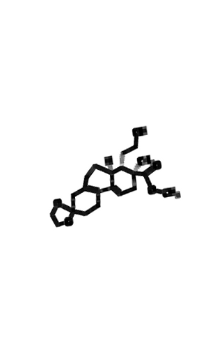 COC(=O)[C@@]1(C)CC=C2C3=C(CC[C@H]2[C@@H]1CCO)CC1(CC3)OCCO1